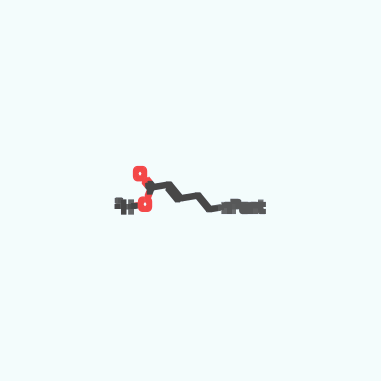 [2H]OC(=O)C=CCCCCCCC